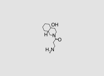 NCCC(=O)N1CC[C@]2(O)CCCC[C@H]2C1